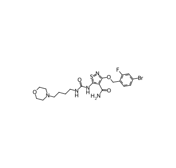 NC(=O)c1c(OCc2ccc(Br)cc2F)nsc1NC(=O)NCCCCN1CCOCC1